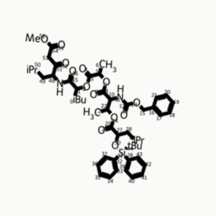 CCC(C)C(OC(=O)C(C)OC(=O)C(NC(=O)OCc1ccccc1)C(C)OC(=O)C(CC(C)C)O[Si](c1ccccc1)(c1ccccc1)C(C)(C)C)C(=O)NC(CC(C)C)C(=O)CC(=O)OC